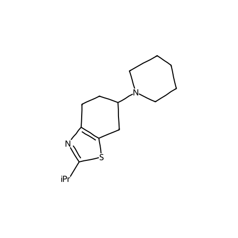 CC(C)c1nc2c(s1)CC(N1CCCCC1)CC2